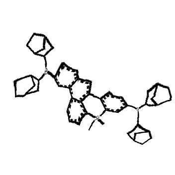 C[Si]1(C)c2cc(B(C3CC4CCC3C4)C3CC4CCC3C4)ccc2-c2cc3ccc(B(C4CC5CCC4C5)C4CC5CCC4C5)cc3c3cccc1c23